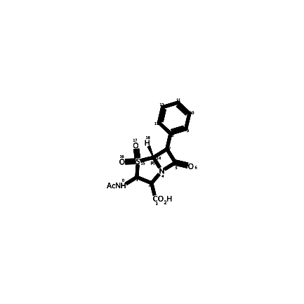 CC(=O)NC1C(C(=O)O)N2C(=O)C(c3ccccc3)[C@H]2S1(=O)=O